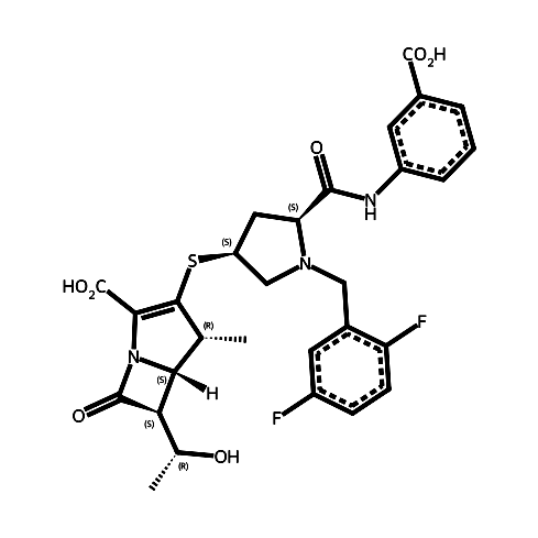 C[C@@H](O)[C@H]1C(=O)N2C(C(=O)O)=C(S[C@H]3C[C@@H](C(=O)Nc4cccc(C(=O)O)c4)N(Cc4cc(F)ccc4F)C3)[C@H](C)[C@H]12